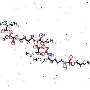 COCCOC(=O)NCCCCC(NC(=O)OC(C)C(=O)OC(C)C(=O)OCCCCOC(=O)C(C)OC(=O)C(C)OC)C(=O)O